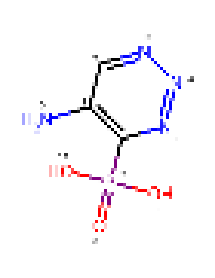 Nc1cnnnc1P(=O)(O)O